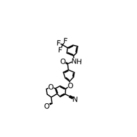 N#Cc1cc2c(cc1Oc1ccc(C(=O)Nc3cccc(C(F)(F)F)c3)cc1)OCCC2C=O